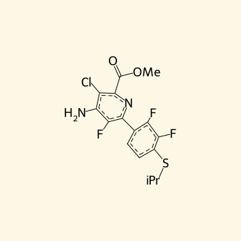 COC(=O)c1nc(-c2ccc(SC(C)C)c(F)c2F)c(F)c(N)c1Cl